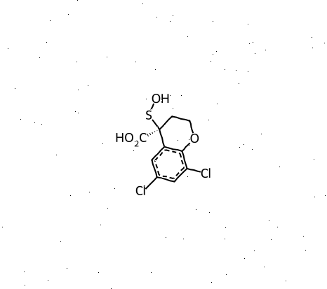 O=C(O)[C@]1(SO)CCOc2c(Cl)cc(Cl)cc21